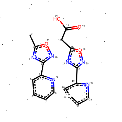 Cc1nc(-c2ccccn2)no1.O=C(O)Cc1nc(-c2ccccn2)no1